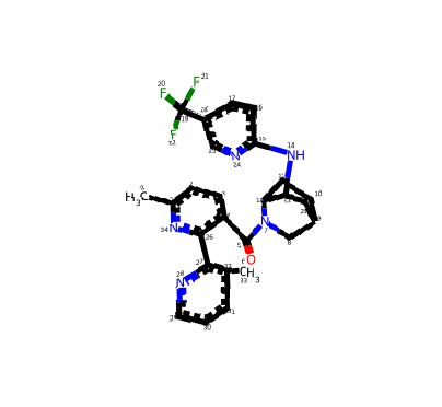 Cc1ccc(C(=O)N2CC3CCC2C(Nc2ccc(C(F)(F)F)cn2)C3)c(-c2ncccc2C)n1